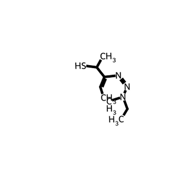 C/C=C(\N=N/N(C)CC)C(C)S